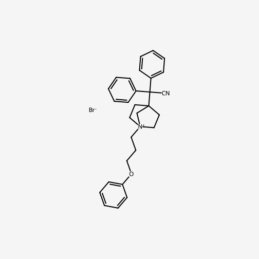 N#CC(c1ccccc1)(c1ccccc1)C12CC[N+](CCCOc3ccccc3)(CC1)C2.[Br-]